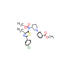 COC(=O)c1cccc(N2CCCC(N(C(=O)OC)c3sc(-c4ccc(Cl)cc4)nc3C)C2)c1